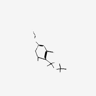 FCOC1=CC(F)=C(C(F)(F)OC(F)(F)F)C(F)C1